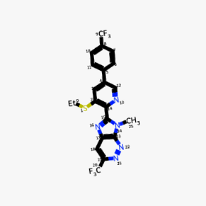 CCSc1cc(-c2ccc(C(F)(F)F)cc2)cnc1-c1nc2cc(C(F)(F)F)nnc2n1C